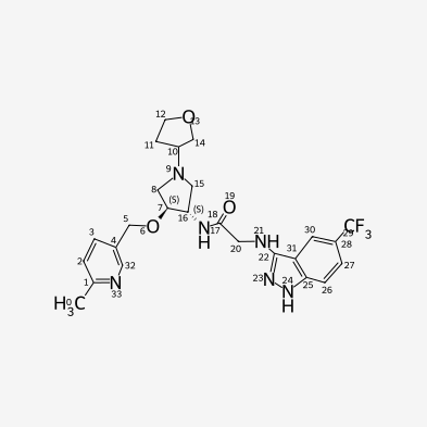 Cc1ccc(CO[C@H]2CN(C3CCOC3)C[C@@H]2NC(=O)CNc2n[nH]c3ccc(C(F)(F)F)cc23)cn1